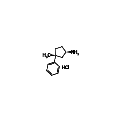 C[C@@]1(c2ccccc2)CC[C@@H](N)C1.Cl